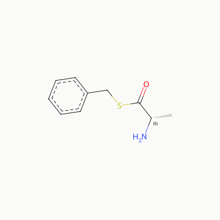 C[C@H](N)C(=O)SCc1ccccc1